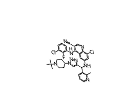 Cc1ncccc1[C@H](Nc1cc(Cl)c2ncc(C#N)c(Nc3cccc(Cl)c3F)c2c1)c1cn(C2CCN(C(C)(C)C)CC2)nn1